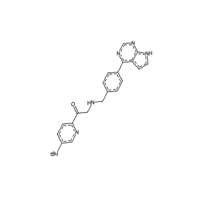 CC(C)(C)c1ccc(C(=O)CNCc2ccc(-c3ncnc4[nH]ccc34)cc2)nc1